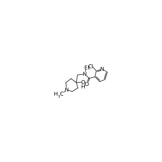 CCN(CC1(O)CCN(C)CC1)C(=O)c1cccnc1Cl